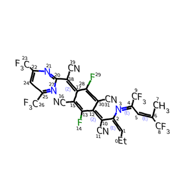 CC/C=C(/N=C(\C=C(/C)C(F)(F)F)C(F)(F)F)C(\C#N)=c1\c(F)c(C#N)/c(=C(/C#N)c2nc(C(F)(F)F)cc(C(F)(F)F)n2)c(F)c1C#N